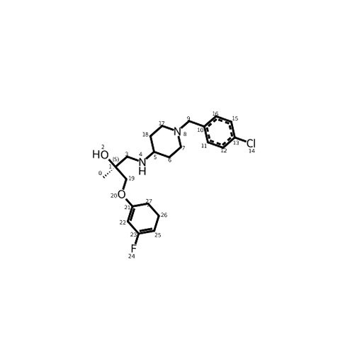 C[C@](O)(CNC1CCN(Cc2ccc(Cl)cc2)CC1)COC1=CC(F)=CC[CH]1